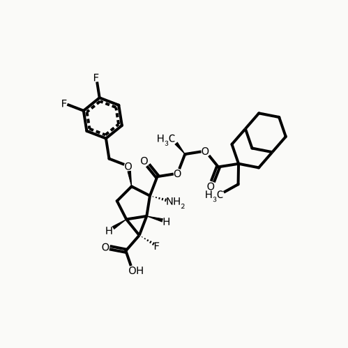 CCC1(C(=O)O[C@H](C)OC(=O)[C@@]2(N)[C@H]3[C@@H](C[C@H]2OCc2ccc(F)c(F)c2)[C@]3(F)C(=O)O)CC2CCCC(C2)C1